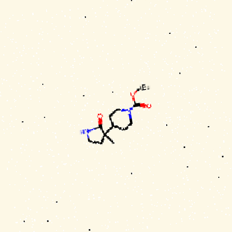 CC(C)(C)OC(=O)N1CCC(C2(C)CCNC2=O)CC1